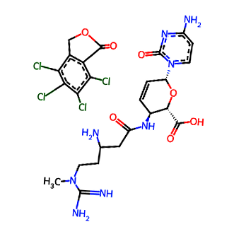 CN(CCC(N)CC(=O)N[C@H]1C=C[C@H](n2ccc(N)nc2=O)O[C@@H]1C(=O)O)C(=N)N.O=C1OCc2c(Cl)c(Cl)c(Cl)c(Cl)c21